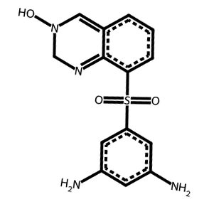 Nc1cc(N)cc(S(=O)(=O)c2cccc3c2=NCN(O)C=3)c1